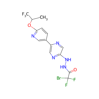 CC(Oc1ccc(-c2cnc(NNC(=O)C(F)(F)Br)cn2)cn1)C(F)(F)F